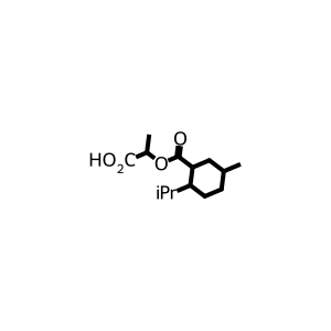 CC1CCC(C(C)C)C(C(=O)OC(C)C(=O)O)C1